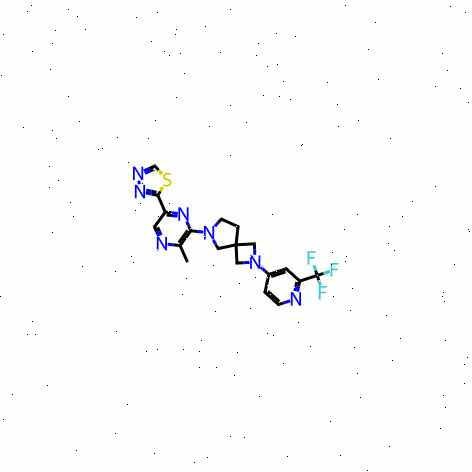 Cc1ncc(-c2nncs2)nc1N1CCC2(CN(c3ccnc(C(F)(F)F)c3)C2)C1